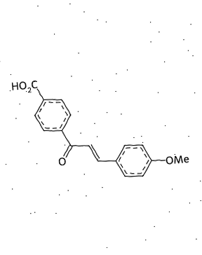 COc1ccc(/C=C/C(=O)c2ccc(C(=O)O)cc2)cc1